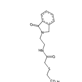 O=C(O)CSCC(=O)NCCN1Cc2ccccc2C1=O